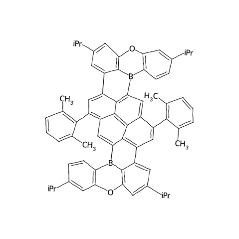 Cc1cccc(C)c1-c1cc2c3c(cc4c(-c5c(C)cccc5C)cc5c6c(cc1c3c46)B1c3ccc(C(C)C)cc3Oc3cc(C(C)C)cc-5c31)B1c3ccc(C(C)C)cc3Oc3cc(C(C)C)cc-2c31